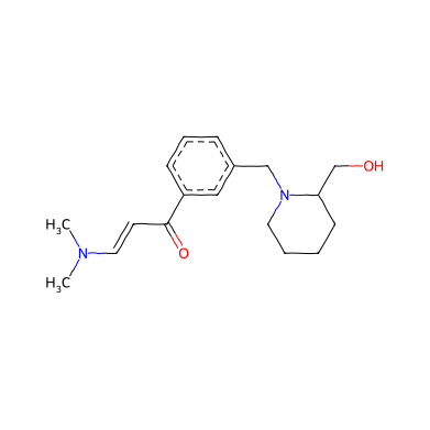 CN(C)C=CC(=O)c1cccc(CN2CCCCC2CO)c1